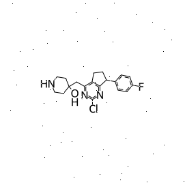 OC1(Cc2nc(Cl)nc3c2CCC3c2ccc(F)cc2)CCNCC1